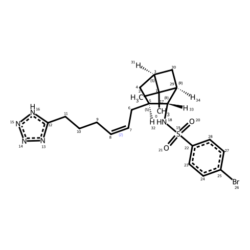 CC1(C)[C@H]2C[C@H](C/C=C\CCCc3nnn[nH]3)[C@@H](NS(=O)(=O)c3ccc(Br)cc3)[C@@H]1C2